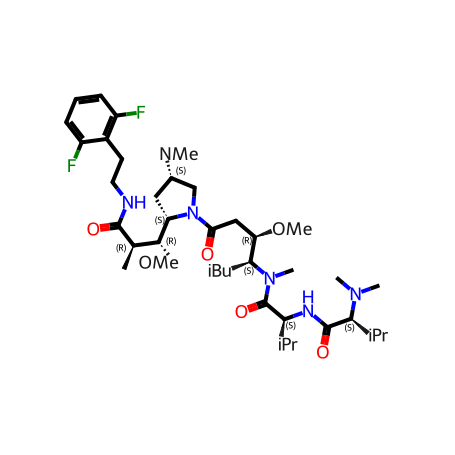 CCC(C)[C@@H]([C@@H](CC(=O)N1C[C@@H](NC)C[C@H]1[C@H](OC)[C@@H](C)C(=O)NCCc1c(F)cccc1F)OC)N(C)C(=O)[C@@H](NC(=O)[C@H](C(C)C)N(C)C)C(C)C